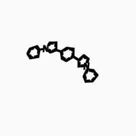 c1ccc(-n2ccc(-c3ccc(-c4ccn(-c5ccccc5)c4)cc3)c2)cc1